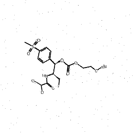 CCCCOCCOC(=O)O[C@H](c1ccc(S(C)(=O)=O)cc1)[C@@H](CF)NC(=O)C(Cl)Cl